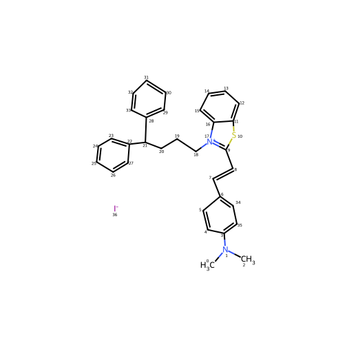 CN(C)c1ccc(/C=C/c2sc3ccccc3[n+]2CCCC(c2ccccc2)c2ccccc2)cc1.[I-]